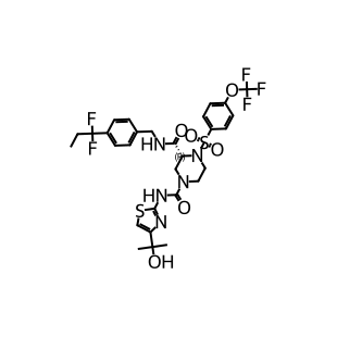 CCC(F)(F)c1ccc(CNC(=O)[C@H]2CN(C(=O)Nc3nc(C(C)(C)O)cs3)CCN2S(=O)(=O)c2ccc(OC(F)(F)F)cc2)cc1